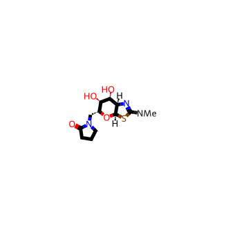 CNC1=N[C@@H]2[C@@H](O)[C@@H](O)[C@@H](CN3CCCC3=O)O[C@@H]2S1